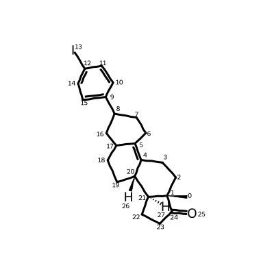 C[C@]12CCC3=C4CCC(c5ccc(I)cc5)CC4CC[C@H]3[C@@H]1CCC2=O